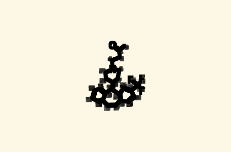 CC(=O)CCN1CCC(=C2c3ccccc3C=Cc3ccc(C(F)(F)F)cc32)CC1